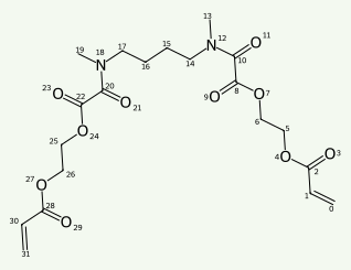 C=CC(=O)OCCOC(=O)C(=O)N(C)CCCCN(C)C(=O)C(=O)OCCOC(=O)C=C